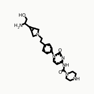 NC(CO)C1C2CN(CCc3ccc(-n4ccc(NC(=O)N5CCNCC5)nc4=O)cc3)CC21